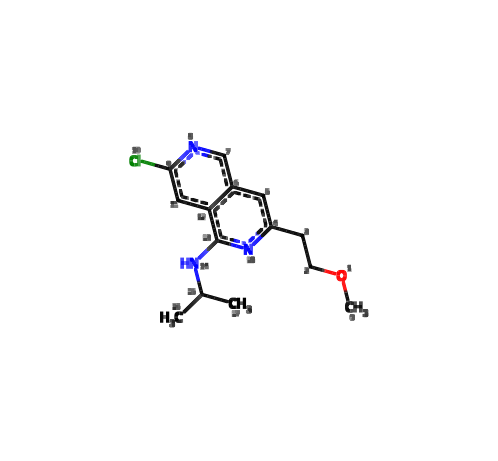 COCCc1cc2cnc(Cl)cc2c(NC(C)C)n1